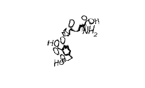 N[C@@H](CCC(=O)N1CC(Oc2ccc3c(c2C(=O)O)OB(O)CC3)C1)C(=O)O